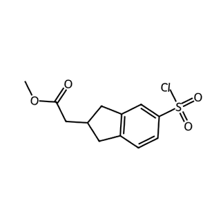 COC(=O)CC1Cc2ccc(S(=O)(=O)Cl)cc2C1